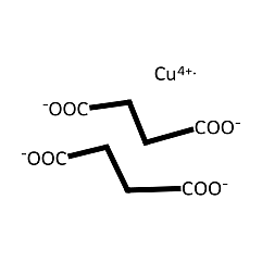 O=C([O-])CCC(=O)[O-].O=C([O-])CCC(=O)[O-].[Cu+4]